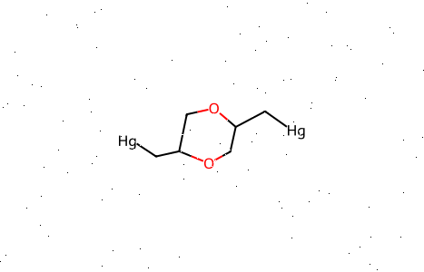 [Hg][CH2]C1COC([CH2][Hg])CO1